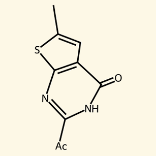 CC(=O)c1nc2sc(C)cc2c(=O)[nH]1